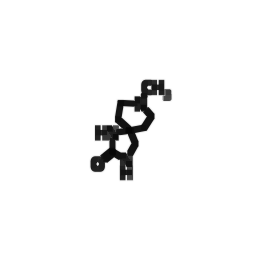 CN1CCC2(CC1)CNC(=O)N2